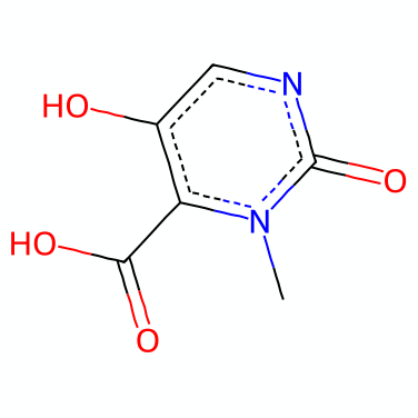 Cn1c(C(=O)O)c(O)cnc1=O